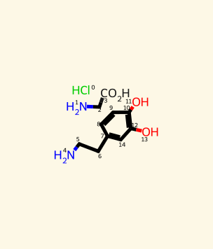 Cl.NCC(=O)O.NCCc1ccc(O)c(O)c1